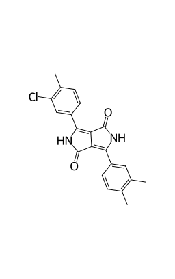 Cc1ccc(C2=C3C(=O)NC(c4ccc(C)c(Cl)c4)=C3C(=O)N2)cc1C